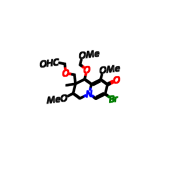 COCOC1c2c(OC)c(=O)c(Br)cn2CC(OC)C1(C)COCC=O